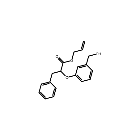 C=CCOC(=O)C(Cc1ccccc1)Oc1cccc(CO)c1